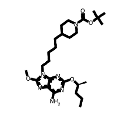 CCC[C@H](C)Oc1nc(N)c2nc(OC)n(CCCCCC3CCN(C(=O)OC(C)(C)C)CC3)c2n1